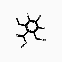 CCc1c(F)c(F)c(F)c(CO)c1C(=O)OF